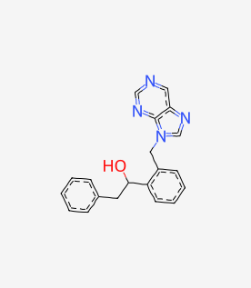 OC(Cc1ccccc1)c1ccccc1Cn1cnc2cncnc21